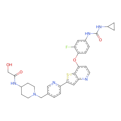 O=C(CO)NC1CCN(Cc2ccc(-c3cc4nccc(Oc5ccc(NC(=O)NC6CC6)cc5F)c4s3)nc2)CC1